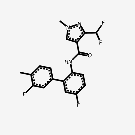 Cc1ccc(-c2cc(F)ccc2NC(=O)c2cn(C)nc2C(F)F)cc1F